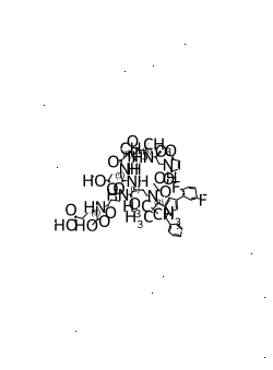 C[C@H](NC(=O)CN1C(=O)C=CC1=O)C(=O)N[C@H](C)C(=O)N[C@@H](CC(=O)O)C(=O)N[C@@H](CCN(C(=O)CO)[C@@H](c1cc(-c2cc(F)ccc2F)cn1Cc1ccccc1)C(C)(C)C)C(=O)NCCC(=O)N[C@@H](CCC(=O)O)C(=O)O